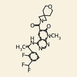 C[C@@H](Nc1ncnc2c1cc(C(=O)N1CC3(CCOCC3)C1)c(=O)n2C)c1cccc(C(F)F)c1F